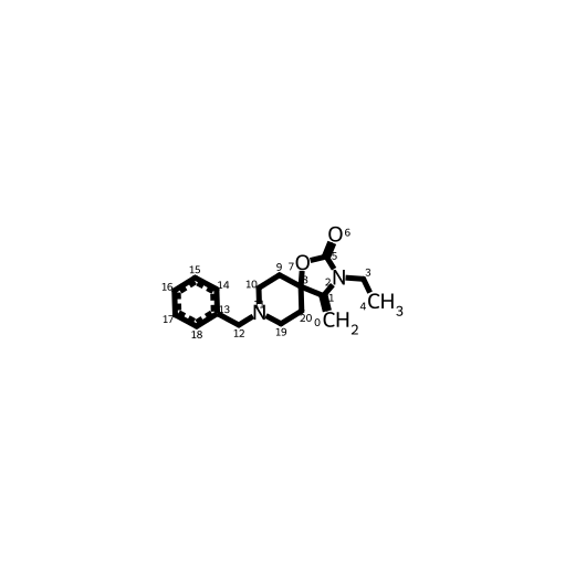 C=C1N(CC)C(=O)OC12CCN(Cc1ccccc1)CC2